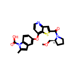 COC[C@@H]1CCCN1C(=O)c1cc2nccc(Oc3ccc4c(c3)cc(C)n4C(=O)O)c2s1